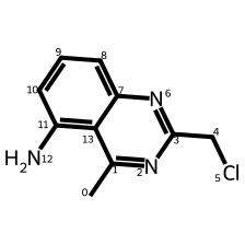 Cc1nc(CCl)nc2cccc(N)c12